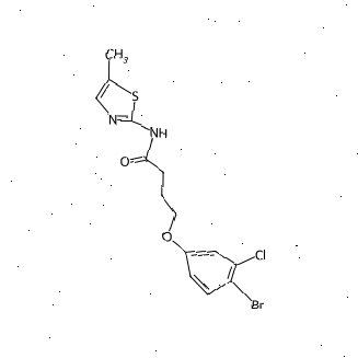 Cc1cnc(NC(=O)CCCOc2ccc(Br)c(Cl)c2)s1